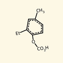 CCc1cc(C)ccc1OC(=O)O